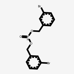 O=[PH](OCc1cccc(Br)c1)OCc1cccc(Br)c1